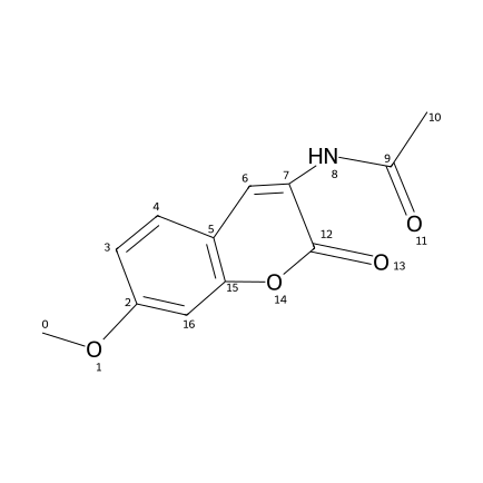 COc1ccc2cc(NC(C)=O)c(=O)oc2c1